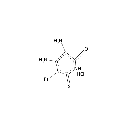 CCn1c(N)c(N)c(=O)[nH]c1=S.Cl